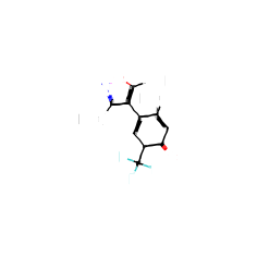 CC1=[C]C(=O)C(C(F)(F)F)C=C1c1c(C)noc1C